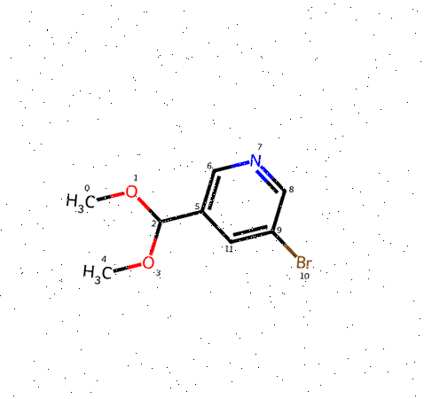 COC(OC)c1cncc(Br)c1